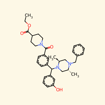 CCOC(=O)C1CCN(C(=O)c2cccc(C(c3cccc(O)c3)N3C[C@@H](C)N(Cc4ccccc4)C[C@@H]3C)c2)CC1